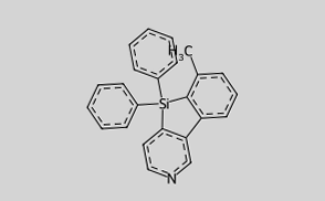 Cc1cccc2c1[Si](c1ccccc1)(c1ccccc1)c1ccncc1-2